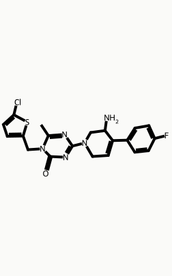 Cc1nc(N2CC=C(c3ccc(F)cc3)C(N)C2)nc(=O)n1Cc1ccc(Cl)s1